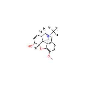 [2H]C([2H])([2H])N1CC[C@]23c4c5ccc(OC)c4OC2([2H])C(O)C=C[C@@]3([2H])[C@H]1C5